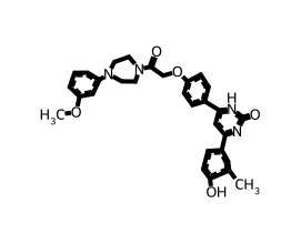 COc1cccc(N2CCN(C(=O)COc3ccc(-c4cc(-c5ccc(O)c(C)c5)nc(=O)[nH]4)cc3)CC2)c1